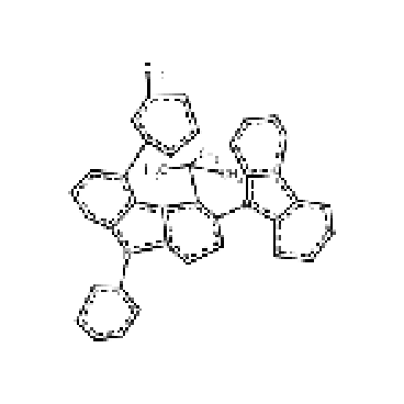 Cc1cccc(-c2cccc3c2c2c(C(C)(C)C)c(-n4c5ccccc5c5ccccc54)ccc2n3-c2ccccc2)c1